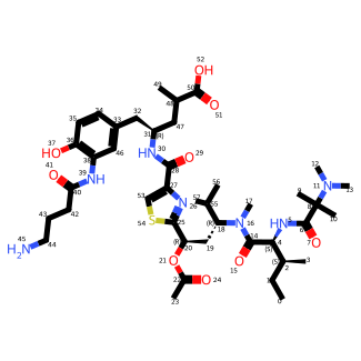 CC[C@H](C)[C@H](NC(=O)C(C)(C)N(C)C)C(=O)N(C)[C@H](C[C@@H](OC(C)=O)c1nc(C(=O)N[C@@H](Cc2ccc(O)c(NC(=O)CCCN)c2)CC(C)C(=O)O)cs1)C(C)C